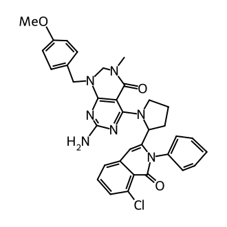 COc1ccc(CN2CN(C)C(=O)c3c2nc(N)nc3N2CCCC2c2cc3cccc(Cl)c3c(=O)n2-c2ccccc2)cc1